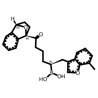 Cc1cccc2c(C[C@H](CCCC(=O)[C@]34CC[C@H](O3)c3ccccc34)B(O)O)coc12